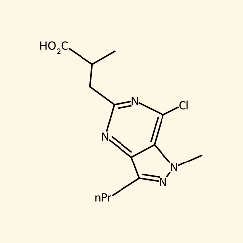 CCCc1nn(C)c2c(Cl)nc(CC(C)C(=O)O)nc12